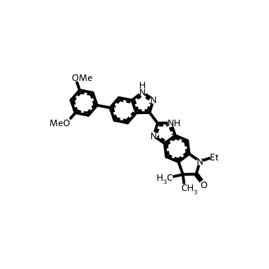 CCN1C(=O)C(C)(C)c2cc3nc(-c4n[nH]c5cc(-c6cc(OC)cc(OC)c6)ccc45)[nH]c3cc21